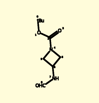 CC(C)(C)OC(=O)N1CC(NC=O)C1